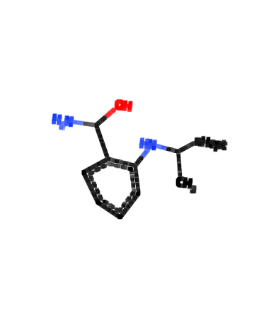 CCCCCCCC(C)Nc1ccccc1C(N)O